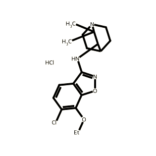 CCOc1c(Cl)ccc2c(NC3C4CCN(CC4)C3(C)C)noc12.Cl